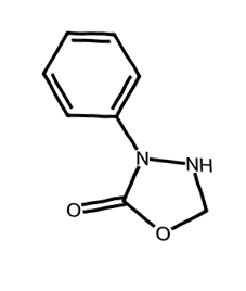 O=C1OCNN1c1ccccc1